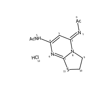 CC(=O)N=c1cc(NC(C)=O)nc2n1CCS2.Cl